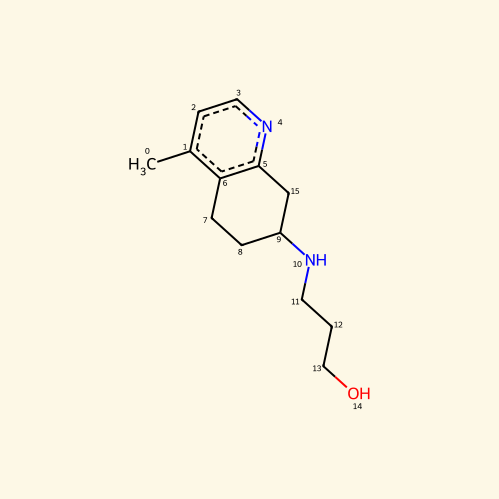 Cc1ccnc2c1CCC(NCCCO)C2